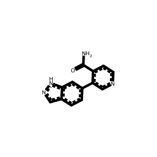 NC(=O)c1ccncc1-c1ccc2cn[nH]c2c1